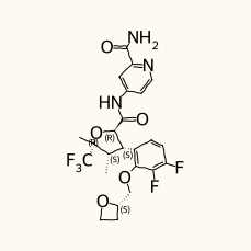 C[C@H]1[C@@H](c2ccc(F)c(F)c2OC[C@@H]2CCO2)[C@H](C(=O)Nc2ccnc(C(N)=O)c2)O[C@@]1(C)C(F)(F)F